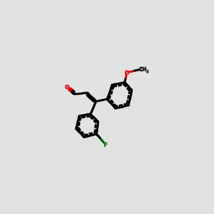 COc1cccc(C(=CC=O)c2cccc(F)c2)c1